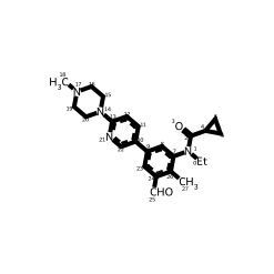 CCN(C(=O)C1CC1)c1cc(-c2ccc(N3CCN(C)CC3)nc2)cc(C=O)c1C